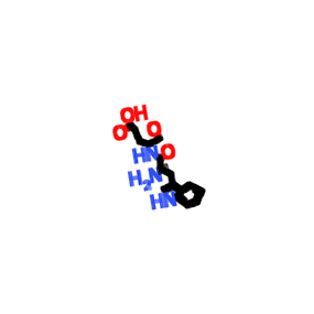 N[C@H](Cc1c[nH]c2ccccc12)C(=O)NC(C=O)CCC(=O)O